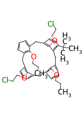 CCCOc1c2cccc1Cc1ccc(C(C)(C)C)c(c1OCCCl)Cc1cccc(c1OCCC)Cc1cccc(c1OCCCl)C2